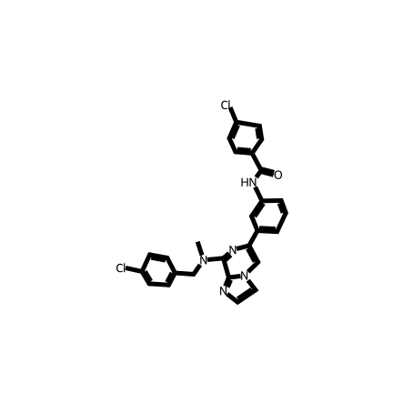 CN(Cc1ccc(Cl)cc1)c1nc(-c2cccc(NC(=O)c3ccc(Cl)cc3)c2)cn2ccnc12